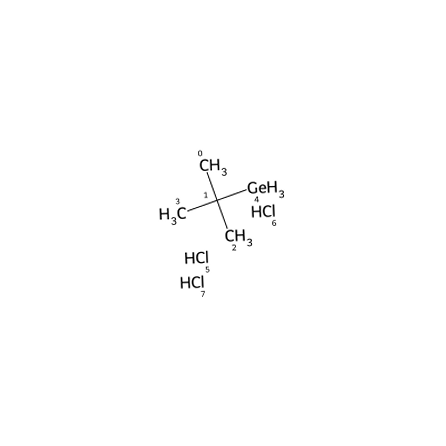 C[C](C)(C)[GeH3].Cl.Cl.Cl